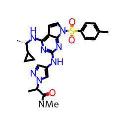 CNC(=O)C(C)n1cc(Nc2nc(N[C@@H](C)C3CC3)c3ccn(S(=O)(=O)c4ccc(C)cc4)c3n2)cn1